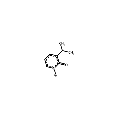 [2H]n1cccc(C(C)C)c1=O